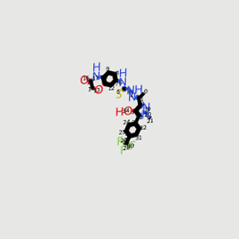 C/C(=N\NC(=S)Nc1ccc2c(c1)OCC(=O)N2)c1nn(C)c(-c2ccc(C(F)(F)F)cc2)c1O